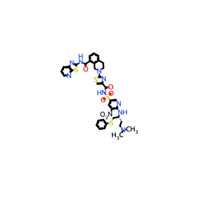 CN(C)CC[C@H](CSc1ccccc1)Nc1ncc(S(=O)(=O)NC(=O)c2csc(N3CCc4cccc(C(=O)Nc5nc6cccnc6s5)c4C3)n2)cc1[N+](=O)[O-]